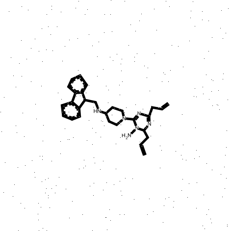 C=CCC1=NC(CC=C)N(N)C(N2CCC(NCC3c4ccccc4-c4ccccc43)CC2)=N1